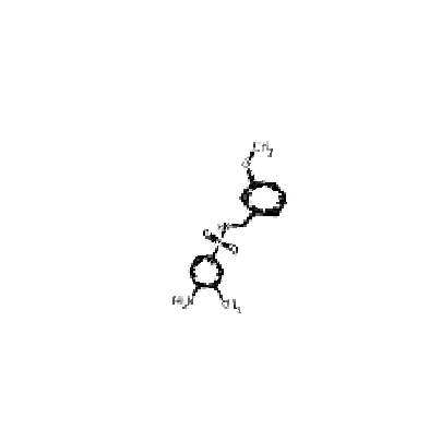 COc1cccc(CNS(=O)(=O)c2ccc(N)c(C)c2)c1